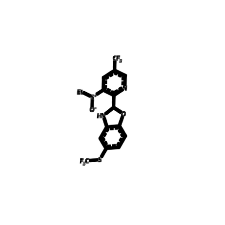 CC[S+]([O-])c1cc(C(F)(F)F)cnc1C1Nc2cc(SC(F)(F)F)ccc2O1